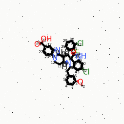 COc1cccc(CCN2[C@H]3CCn4c(nc5cc(C(=O)O)ccc54)[C@H]3[C@H](c3cccc(Cl)c3F)[C@]23C(=O)Nc2cc(Cl)ccc23)c1